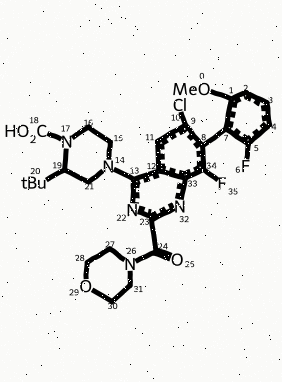 COc1cccc(F)c1-c1c(Cl)cc2c(N3CCN(C(=O)O)C(C(C)(C)C)C3)nc(C(=O)N3CCOCC3)nc2c1F